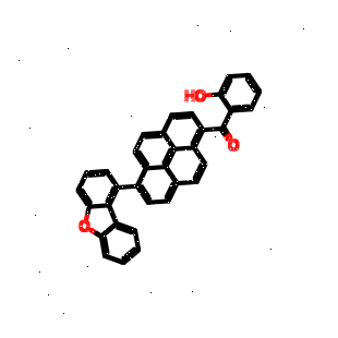 O=C(c1ccccc1O)c1ccc2ccc3c(-c4cccc5oc6ccccc6c45)ccc4ccc1c2c43